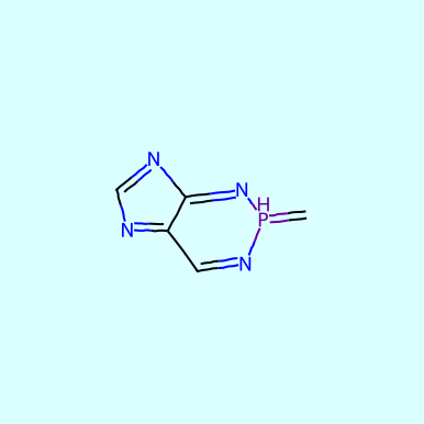 C=[PH]1N=CC2=NC=NC2=N1